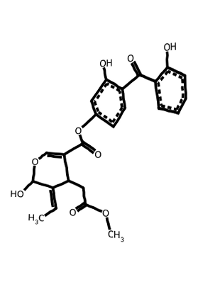 C/C=C1\C(O)OC=C(C(=O)Oc2ccc(C(=O)c3ccccc3O)c(O)c2)C1CC(=O)OC